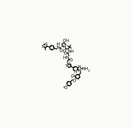 COc1ccc(COc2ccc(Cn3c(N)nc4cc(-c5cnn(CC(=O)NCC(=O)N[C@H](C(=O)N6C[C@H](O)C[C@H]6C(=O)NCc6ccc(-c7scnc7C)cc6)C(C)(C)C)c5)cnc43)cc2OC)cc1